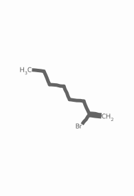 C=C(Br)CCCCCC